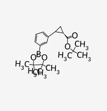 CC(C)(C)OC(=O)[C@@H]1CC1c1cccc(B2OC(C)(C)C(C)(C)O2)c1